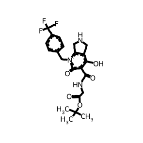 CC(C)(C)OC(=O)CNC(=O)c1c(O)c2c(n(Cc3ccc(C(F)(F)F)cc3)c1=O)CNC2